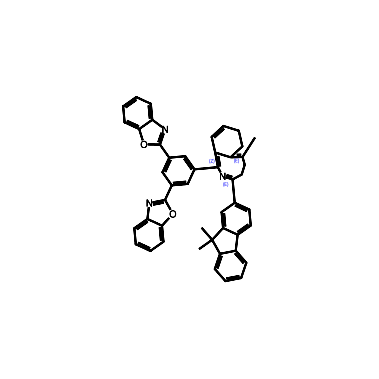 C/C1=C2/CCC=C/C2=C(c2cc(-c3nc4ccccc4o3)cc(-c3nc4ccccc4o3)c2)/N=C(/c2ccc3c(c2)C(C)(C)c2ccccc2-3)CC1